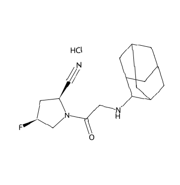 Cl.N#C[C@@H]1C[C@H](F)CN1C(=O)CNC1C2CC3CC(C2)CC1C3